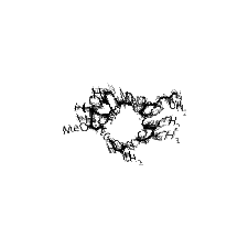 C=C1C[C@@H]2CC[C@]34C[C@@H](OC)[C@H](O3)[C@H]3C[C@@H](O4)[C@H]4O[C@H](CC[C@@H]4O3)CC(=O)C[C@H]3C(C[C@H]4O[C@@H](CC[C@@H]1O2)C[C@@H](C)C4=C)O[C@H](C[C@H](O)CN)[C@@H]3OC